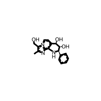 Cc1nc2c3c(ccn2c1CO)[C@@H](O)[C@H](O)[C@@H](c1ccccc1)N3